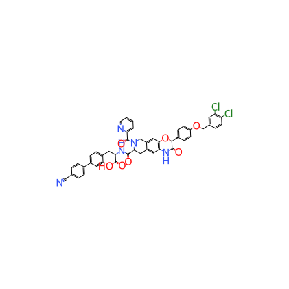 N#Cc1ccc(-c2ccc(CC(NC(=O)[C@@H]3Cc4cc5c(cc4CN3C(=O)c3ccccn3)O[C@@H](c3ccc(OCc4ccc(Cl)c(Cl)c4)cc3)C(=O)N5)C(=O)O)cc2)cc1